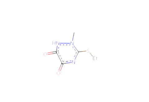 CCSc1nc(=O)c(=O)[nH]n1C